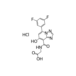 Cl.O=C(O)CNC(=O)c1c(O)cc(-c2cc(F)cc(F)c2)n2ncnc12